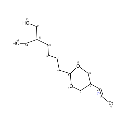 CC/C=C/C1COC(CCCCC(CO)CO)OC1